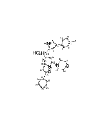 Cc1ccc(-c2cc(Nc3cc(N4CCOCC4)n4nc(-c5ccncc5)cc4n3)[nH]n2)cc1.Cl